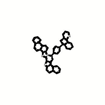 c1ccc2c(c1)ccc1c2ccc2c1nc1c3sc4ccc5ccccc5c4c3cc(-c3ccc(-c4cc5cccnc5c5ccccc45)cc3)n21